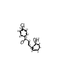 O=C(C=Cc1ccccc1O)c1ccc(Cl)cc1